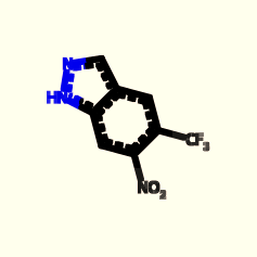 O=[N+]([O-])c1cc2[nH]ncc2cc1C(F)(F)F